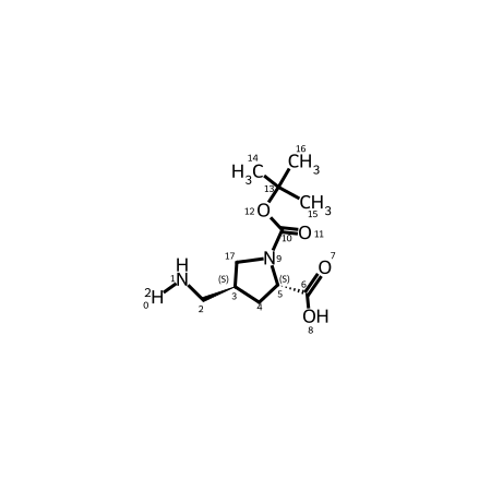 [2H]NC[C@@H]1C[C@@H](C(=O)O)N(C(=O)OC(C)(C)C)C1